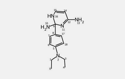 CCN(CC)c1ccc(C2(N)N=C(N)C=CN2)cc1